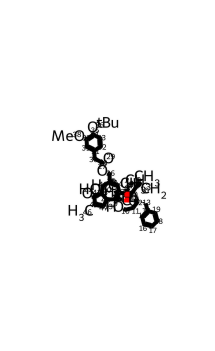 C=C(C)[C@@]1(C)C[C@@H](C)[C@@]23OCC[C@](Cc4ccccc4)(O[C@@H](C)[C@@H]2C=C(COC(=O)Cc2ccc(OC(C)(C)C)c(OC)c2)C[C@]2(O)C(=O)C(C)=C[C@@H]32)O1